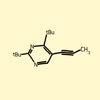 CC#Cc1cnc(C(C)(C)C)nc1C(C)(C)C